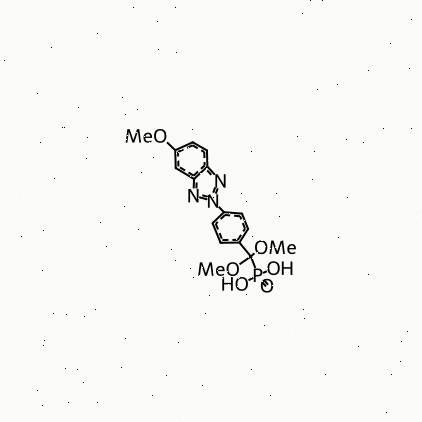 COc1ccc2nn(-c3ccc(C(OC)(OC)P(=O)(O)O)cc3)nc2c1